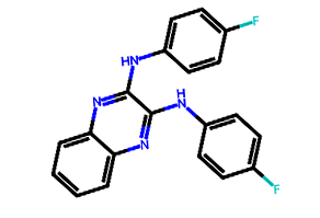 Fc1ccc(Nc2nc3ccccc3nc2Nc2ccc(F)cc2)cc1